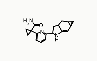 NC(=O)C1(c2cccc(C3CC4CC5C=C5C=C4N3)n2)CC1